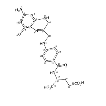 Nc1nc2c(c(=O)[nH]1)N=C(CNc1ccc(C(=O)N[C@H](CCC(=O)O)C(=O)O)cc1)CN2